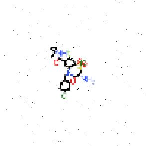 CC1(NC(=O)c2cc3c(cc2F)S(=O)(=O)C[C@H](N)C(=O)N3Cc2ccc(Cl)cc2)CC1.Cl